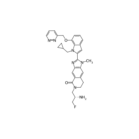 Cn1c(-c2cc3cccc(OCc4cccnn4)c3n2CC2CC2)nc2cc3c(cc21)CCN(C[C@H](N)CF)C3=O